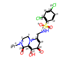 CC(C)N1CCn2c(CNS(=O)(=O)c3ccc(Cl)cc3Cl)cc(=O)c(O)c2C1=O